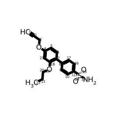 C#CCOc1ccc(-c2ccc(S(N)(=O)=O)cc2)c(OCCC)c1